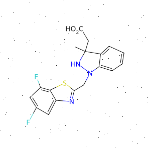 CC1(CC(=O)O)NN(Cc2nc3cc(F)cc(F)c3s2)c2ccccc21